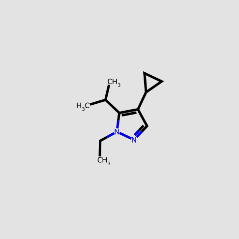 CCn1ncc(C2CC2)c1C(C)C